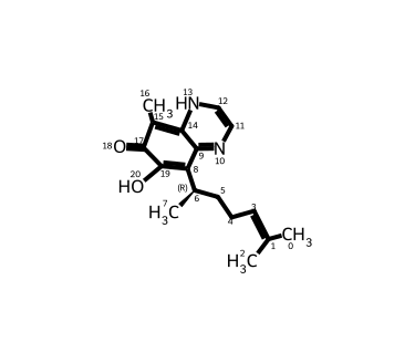 CC(C)=CCC[C@@H](C)c1c2ncc[nH]c-2c(C)c(=O)c1O